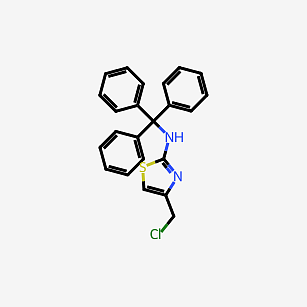 ClCc1csc(NC(c2ccccc2)(c2ccccc2)c2ccccc2)n1